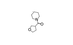 O=C(C1CCOC1)N1CC[CH]CC1